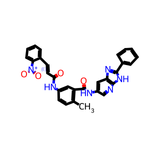 Cc1ccc(NC(=O)/C=C/c2ccccc2[N+](=O)[O-])cc1C(=O)Nc1cnc2[nH]c(-c3ccccc3)nc2c1